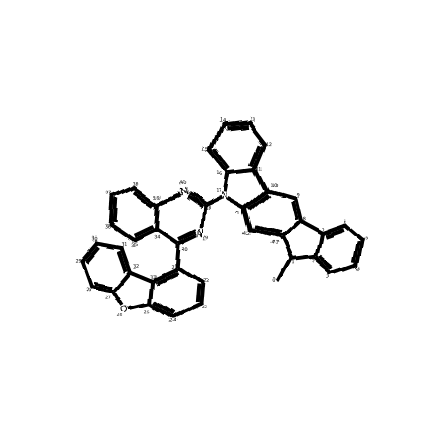 CC1c2ccccc2-c2cc3c4ccccc4n(-c4nc(-c5cccc6oc7ccccc7c56)c5ccccc5n4)c3cc21